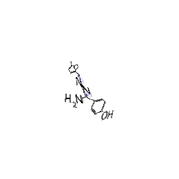 Cc1ccc(/C=N/N=C(\N)c2ccc(O)cc2)o1